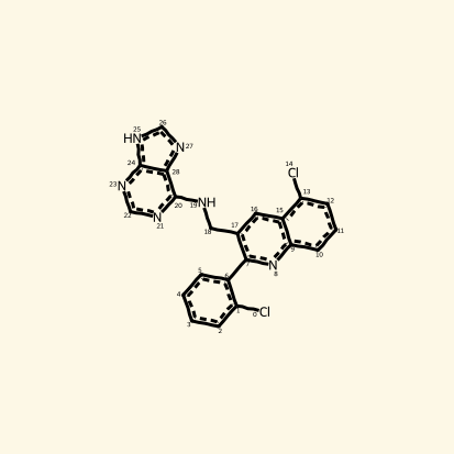 Clc1ccccc1-c1nc2cccc(Cl)c2cc1CNc1ncnc2[nH]cnc12